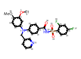 CCOc1cc(N(Cc2cccnc2)c2ccc(C(=O)NS(=O)(=O)c3ccc(F)cc3F)cc2)ccc1OC